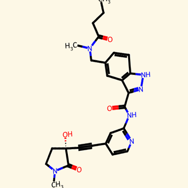 CCCC(=O)N(C)Cc1ccc2[nH]nc(C(=O)Nc3cc(C#C[C@]4(O)CCN(C)C4=O)ccn3)c2c1